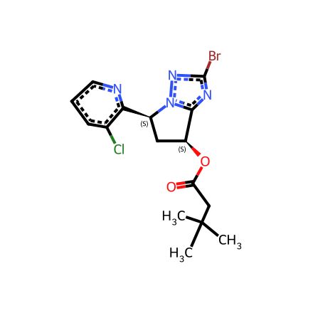 CC(C)(C)CC(=O)O[C@H]1C[C@@H](c2ncccc2Cl)n2nc(Br)nc21